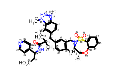 CC[C@@H]1CN(Cc2cc([C@@H](c3ccc4c(c3C)N(C)NN4CC)C(C)(C)C(=O)NC(CC(=O)O)c3ccncc3)ccc2C)S(=O)(=O)c2ccccc2O1